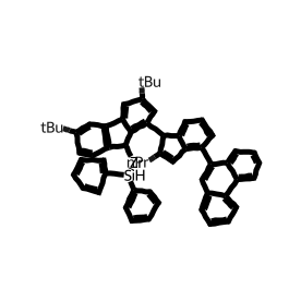 CCCC1=Cc2c(-c3cc4ccccc4c4ccccc34)cccc2C1c1cc(C(C)(C)C)cc2c1[CH]([Zr][SiH](c1ccccc1)c1ccccc1)c1ccc(C(C)(C)C)cc1-2